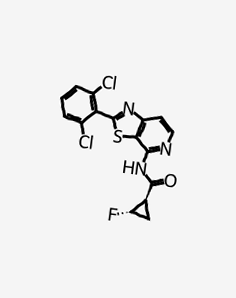 O=C(Nc1nccc2nc(-c3c(Cl)cccc3Cl)sc12)[C@H]1C[C@@H]1F